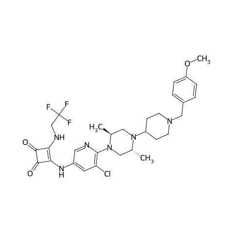 COc1ccc(CN2CCC(N3C[C@H](C)N(c4ncc(Nc5c(NCC(F)(F)F)c(=O)c5=O)cc4Cl)C[C@H]3C)CC2)cc1